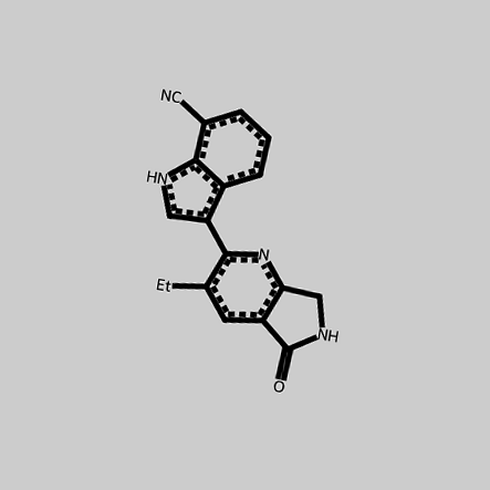 CCc1cc2c(nc1-c1c[nH]c3c(C#N)cccc13)CNC2=O